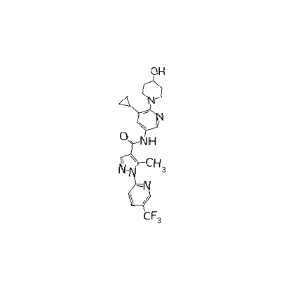 Cc1c(C(=O)Nc2cnc(N3CCC(O)CC3)c(C3CC3)c2)cnn1-c1ccc(C(F)(F)F)cn1